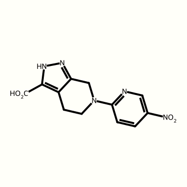 O=C(O)c1[nH]nc2c1CCN(c1ccc([N+](=O)[O-])cn1)C2